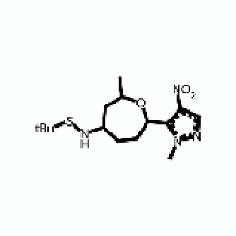 CC1CC(NSC(C)(C)C)CCC(c2c([N+](=O)[O-])cnn2C)O1